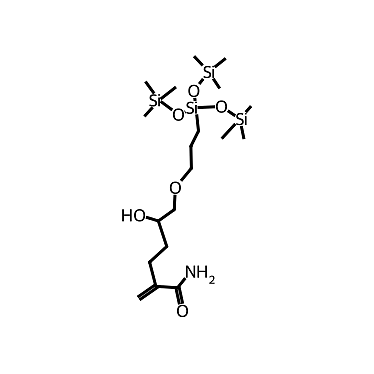 C=C(CCC(O)COCCC[Si](O[Si](C)(C)C)(O[Si](C)(C)C)O[Si](C)(C)C)C(N)=O